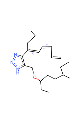 C=C/C=C\C=C(/CCC)c1nn[nH]c1COC(CC)CCC(C)CC